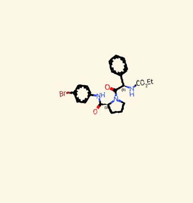 CCOC(=O)N[C@@H](C(=O)N1CCC[C@H]1C(=O)Nc1ccc(Br)cc1)c1ccccc1